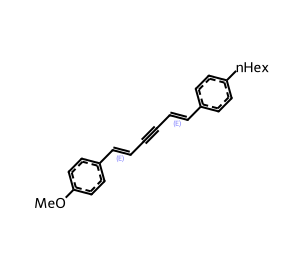 CCCCCCc1ccc(/C=C/C#C/C=C/c2ccc(OC)cc2)cc1